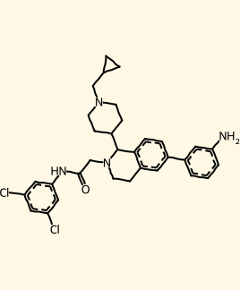 Nc1cccc(-c2ccc3c(c2)CCN(CC(=O)Nc2cc(Cl)cc(Cl)c2)C3C2CCN(CC3CC3)CC2)c1